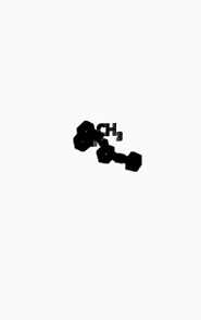 C[C@@H](NCc1cccc(C#Cc2ccccc2)c1)c1cccc2ccccc12